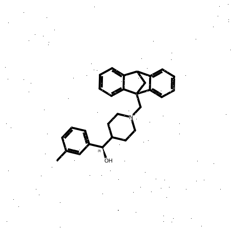 Cc1cccc([C@H](O)C2CCN(CC34CC(c5ccccc53)c3ccccc34)CC2)c1